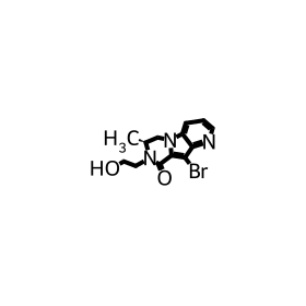 C[C@@H]1Cn2c(c(Br)c3ncccc32)C(=O)N1CCO